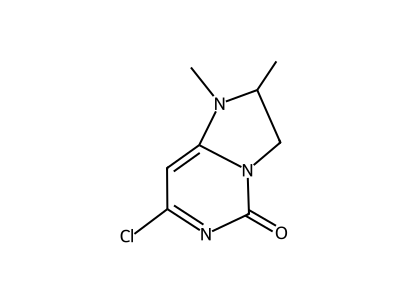 CC1Cn2c(cc(Cl)nc2=O)N1C